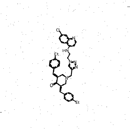 CCc1ccc(/C=C2\CN(Cc3cn(CCNc4ccnc5cc(Cl)ccc45)nn3)C/C(=C\c3ccc(CC)cc3)C2=O)cc1